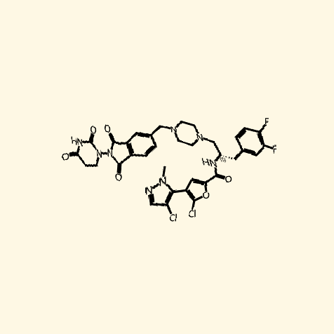 Cn1ncc(Cl)c1-c1cc(C(=O)N[C@@H](Cc2ccc(F)c(F)c2)CN2CCN(Cc3ccc4c(c3)C(=O)N(N3CCC(=O)NC3=O)C4=O)CC2)oc1Cl